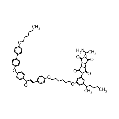 CCCCCCOc1ccc(-c2ccc(Oc3ccc(C(=O)/C=C/c4ccc(OCCCCCCOc5cc(C(C)CCCC)cc(N6C(=O)C7C(C6=O)C6C(=O)N(C(C)N)C(=O)C76)c5)cc4)cc3)cc2)cc1